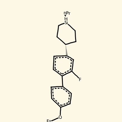 CCC[Si@H]1CC[C@H](c2ccc(-c3ccc(OCC)cc3)c(F)c2)CC1